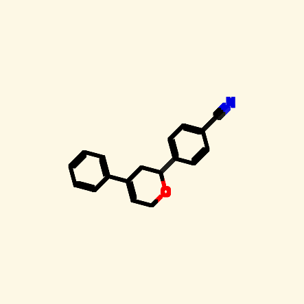 N#Cc1ccc(C2CC(c3ccccc3)=CCO2)cc1